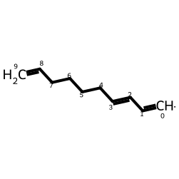 [CH]=CC=CCCCCC=C